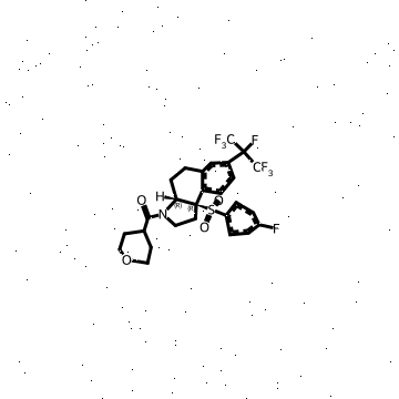 O=C(C1CCOCC1)N1CC[C@@]2(S(=O)(=O)c3ccc(F)cc3)c3ccc(C(F)(C(F)(F)F)C(F)(F)F)cc3CC[C@@H]12